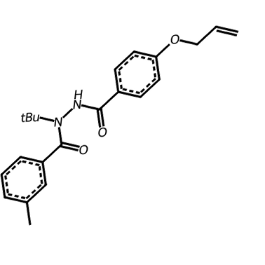 C=CCOc1ccc(C(=O)NN(C(=O)c2cccc(C)c2)C(C)(C)C)cc1